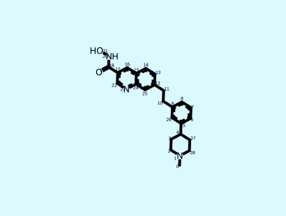 CN1CCC(c2cccc(CCc3ccc4cc(C(=O)NO)cnc4c3)c2)CC1